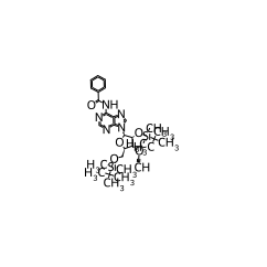 C#CO[C@H]1[C@@H](O[Si](C)(C)C(C)(C)C)[C@H](n2cnc3c(NC(=O)c4ccccc4)ncnc32)O[C@@H]1CO[Si](C)(C)C(C)(C)C